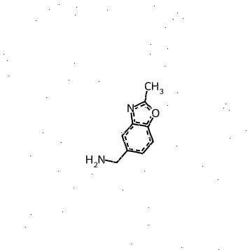 Cc1nc2cc(CN)ccc2o1